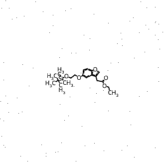 CCOC(=O)Cc1coc2ccc(OCCO[Si](C)(C)C(C)(C)C)cc12